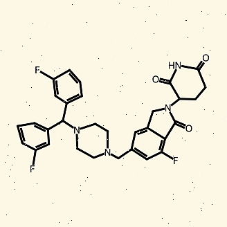 O=C1CCC(N2Cc3cc(CN4CCN(C(c5cccc(F)c5)c5cccc(F)c5)CC4)cc(F)c3C2=O)C(=O)N1